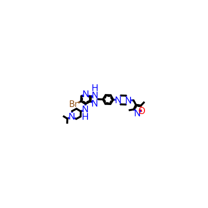 Cc1noc(C)c1CN1CCN(c2ccc(-c3nc4c(NC5CCN(C(C)C)CC5)c(Br)cnc4[nH]3)cc2)CC1